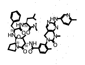 Cc1ccc(Nc2ncc3c(n2)N(C)C(=O)N(c2cc(C(=O)N[C@H](C(=O)N4CCC[C@H]4C(=O)N[C@@H](Cc4ccccc4)C(=O)N[C@@H](CC(C)C)C(=O)N(C)C)C(C)C)ccc2C)C3)cn1